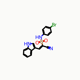 N#CC(=Cc1c[nH]c2ccccc12)S(=O)(=O)Nc1ccc(Br)cc1